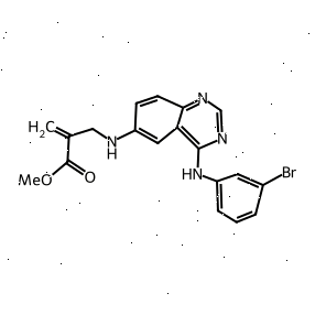 C=C(CNc1ccc2ncnc(Nc3cccc(Br)c3)c2c1)C(=O)OC